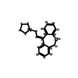 C(/CN1CCCC1)=C1\c2ccccc2COc2ccccc21